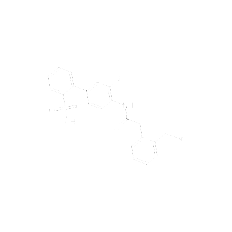 CS(=O)(=O)c1ccccc1-c1ccc(NC(=O)Cc2ccccc2CBr)c(F)c1